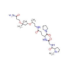 CC(CCNC(=O)CCC(NC(=O)CNC(=O)C1CCCN1C)C(=O)N1CCCC1)OCCC(C)(C)OCCC(N)=O